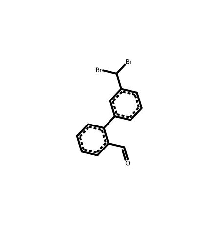 O=Cc1ccccc1-c1cccc(C(Br)Br)c1